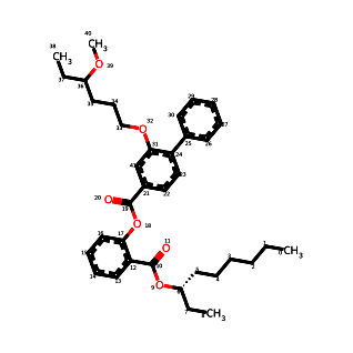 CCCCCC[C@H](CC)OC(=O)c1ccccc1OC(=O)c1ccc(-c2ccccc2)c(OCCCC(CC)OC)c1